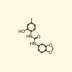 Cc1ccc(NC(=O)Nc2ccc3c(c2)OCO3)c(O)c1